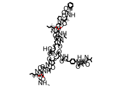 CC[C@H](C)[C@@H]([C@@H](CC(N)=O)OC)N(C)C(=O)[C@@H](NC(=O)[C@H](C(C)C)N(C)N1C(=O)CC(SCC(NC(=O)OCc2ccc(NC(=O)[C@H](C)NC(=O)[C@@H](N)C(C)C)cc2)C(=O)NC(CSC2CC(=O)N(N(C)[C@H](C(=O)N[C@H](C(=O)N(C)[C@@H]([C@@H](C)CC)[C@@H](CC(=O)N3CCC[C@H]3[C@H](OC)[C@@H](C)C(=O)N[C@@H](Cc3ccccc3)C(=O)O)OC)C(C)C)C(C)C)C2=O)C(=O)O)C1=O)C(C)C